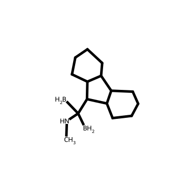 BC(B)(NC)C1C2CCCCC2C2CCCCC21